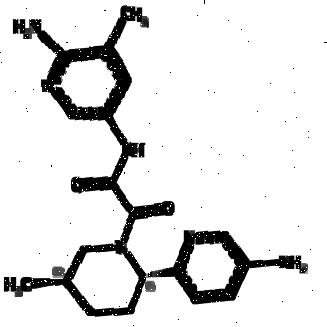 Cc1cc(NC(=O)C(=O)N2C[C@H](C)CC[C@H]2c2ccc(N)cn2)cnc1N